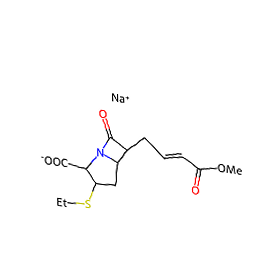 CCSC1CC2C(CC=CC(=O)OC)C(=O)N2C1C(=O)[O-].[Na+]